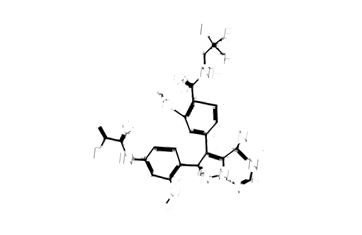 C=C(F)C(=O)Nc1ccc(-c2nn3ncnc(N)c3c2-c2ccc(C(=O)NCC(F)(F)F)c(OC)c2)c(OC)c1